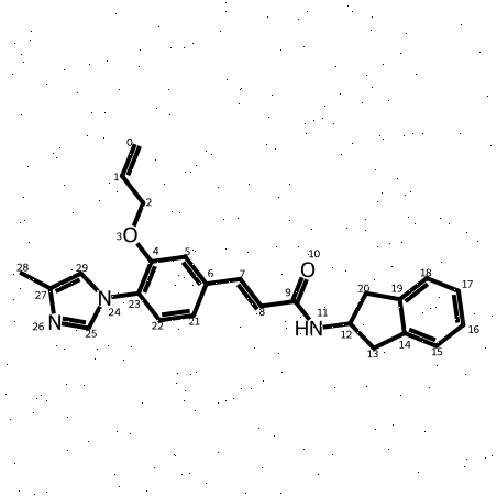 C=CCOc1cc(/C=C/C(=O)NC2Cc3ccccc3C2)ccc1-n1cnc(C)c1